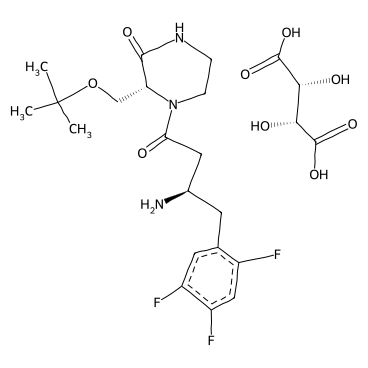 CC(C)(C)OC[C@@H]1C(=O)NCCN1C(=O)C[C@H](N)Cc1cc(F)c(F)cc1F.O=C(O)[C@H](O)[C@@H](O)C(=O)O